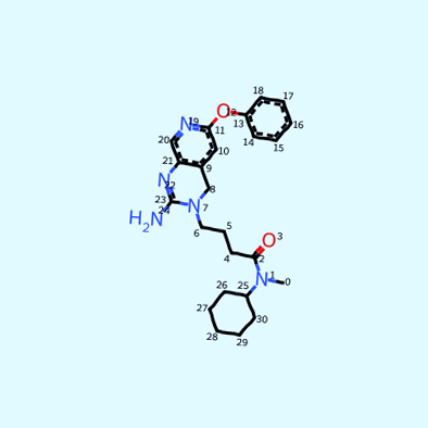 CN(C(=O)CCCN1Cc2cc(Oc3ccccc3)ncc2N=C1N)C1CCCCC1